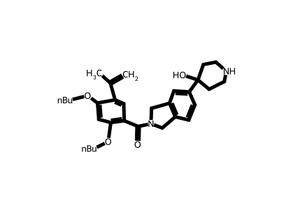 C=C(C)c1cc(C(=O)N2Cc3ccc(C4(O)CCNCC4)cc3C2)c(OCCCC)cc1OCCCC